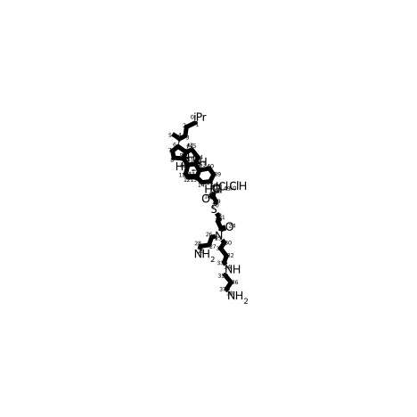 CC(C)CCCC(C)[C@H]1CC[C@H]2[C@@H]3CC=C4C[C@@H](OC(=O)CSSCC(=O)N(CCCN)CCCCNCCCN)CC[C@]4(C)[C@H]3CC[C@]12C.Cl.Cl.Cl